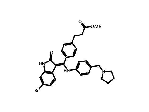 COC(=O)CCc1ccc(C(Nc2ccc(CN3CCCC3)cc2)=C2C(=O)Nc3cc(Br)ccc32)cc1